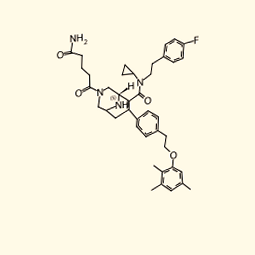 Cc1cc(C)c(C)c(OCCc2ccc(C3=C(C(=O)N(CCc4ccc(F)cc4)C4CC4)[C@H]4CN(C(=O)CCCC(N)=O)CC(C3)N4)cc2)c1